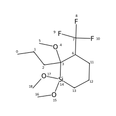 CCCC1(OC)C(C(F)(F)F)CCC[Si]1(OC)OC